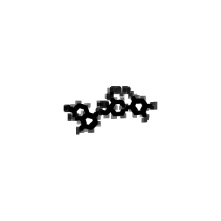 CCOC(=O)OC1CN(c2cc(F)c(Cl)cc2F)CCC1(O)COc1ccc(F)c2c1CCC(=O)N2